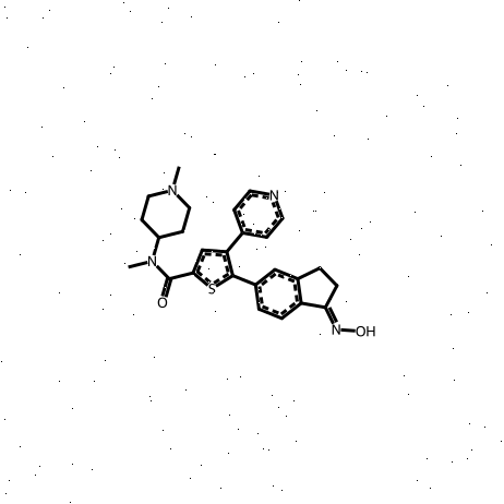 CN1CCC(N(C)C(=O)c2cc(-c3ccncc3)c(-c3ccc4c(c3)CCC4=NO)s2)CC1